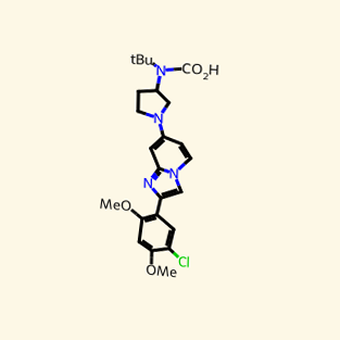 COc1cc(OC)c(-c2cn3ccc(N4CCC(N(C(=O)O)C(C)(C)C)C4)cc3n2)cc1Cl